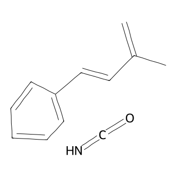 C=C(C)C=Cc1ccccc1.N=C=O